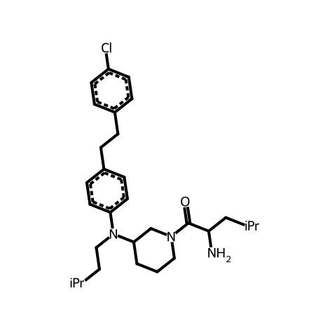 CC(C)CCN(c1ccc(CCc2ccc(Cl)cc2)cc1)C1CCCN(C(=O)C(N)CC(C)C)C1